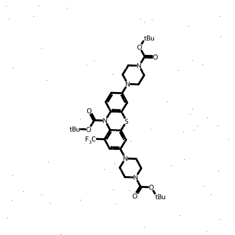 CC(C)(C)OC(=O)N1CCN(c2ccc3c(c2)Sc2cc(N4CCN(C(=O)OC(C)(C)C)CC4)cc(C(F)(F)F)c2N3C(=O)OC(C)(C)C)CC1